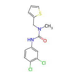 CN(Cc1cccs1)C(=O)Nc1ccc(Cl)c(Cl)c1